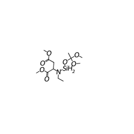 CCN([SiH2]OC(C)(OC)OC)C(CC(=O)OC)C(=O)OC